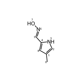 Cc1c[nH]c(C=NO)c1